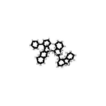 c1ccc(-c2cccc3c2c2cc4ccccc4cc2n3-c2nc(-c3cccc4oc5ccccc5c34)nc3ccccc23)cc1